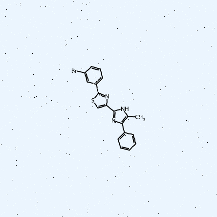 Cc1[nH]c(-c2csc(-c3cccc(Br)c3)n2)nc1-c1ccccc1